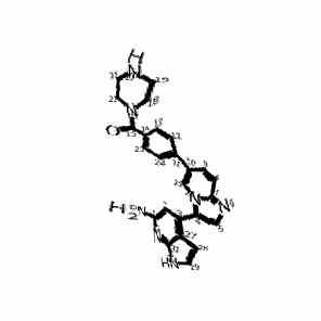 Nc1cc(-c2cnc3ccc(-c4ccc(C(=O)N5CCNCC5)cc4)cn23)c2cc[nH]c2n1